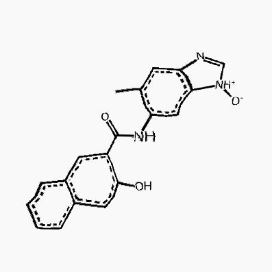 Cc1cc2c(cc1NC(=O)c1cc3ccccc3cc1O)[NH+]([O-])C=N2